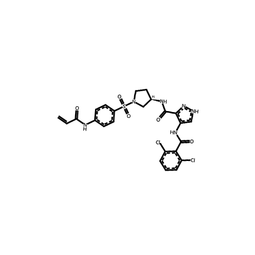 C=CC(=O)Nc1ccc(S(=O)(=O)N2CC[C@@H](NC(=O)c3n[nH]cc3NC(=O)c3c(Cl)cccc3Cl)C2)cc1